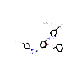 CCC(C(=O)O)c1ccc(NCc2ccc(Sc3nnc(-c4ccc(C(C)(C)C)cc4)n3C)cc2OCc2ccccc2)cc1